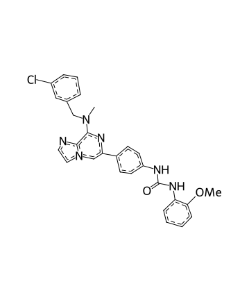 COc1ccccc1NC(=O)Nc1ccc(-c2cn3ccnc3c(N(C)Cc3cccc(Cl)c3)n2)cc1